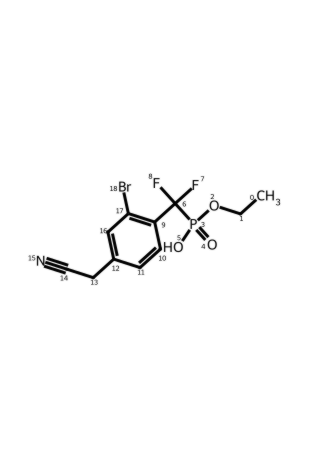 CCOP(=O)(O)C(F)(F)c1ccc(CC#N)cc1Br